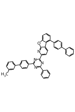 Cc1cccc(-c2ccc(-c3nc(-c4ccccc4)nc(-c4ccc5c(n4)oc4cccc(-c6ccc(-c7ccccc7)cc6)c45)n3)cc2)c1